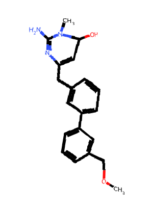 COCc1cccc(-c2cccc(CC3=CC(O)N(C)C(N)=N3)c2)c1